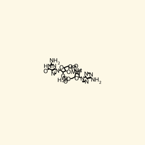 COC1C2CO[PH](=O)NC3C(CO[P@](=O)(S)OC1C(n1cnc4c(=O)[nH]c(N)nc41)O2)OC(n1cnc2c(N)ncnc21)C3F